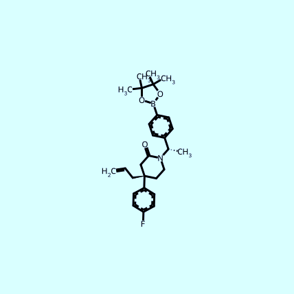 C=CC[C@]1(c2ccc(F)cc2)CCN([C@@H](C)c2ccc(B3OC(C)(C)C(C)(C)O3)cc2)C(=O)C1